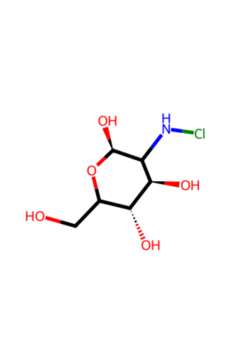 OCC1O[C@@H](O)C(NCl)[C@@H](O)[C@@H]1O